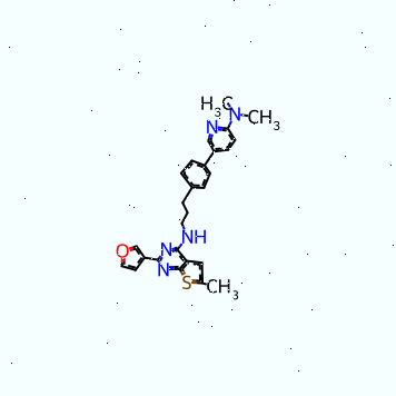 Cc1cc2c(NCCCc3ccc(-c4ccc(N(C)C)nc4)cc3)nc(-c3ccoc3)nc2s1